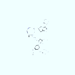 C=C1/C=C\C=C/C[C@H](Oc2ccc3nnc(N4CCCC[C@@H]4C)n3c2)CC[C@@H]1NC(=O)Nc1cc(C(C)(C)C)nn1-c1ccc(O[Si](C(C)C)(C(C)C)C(C)C)c(CN2CCN(C)CC2)c1